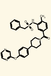 Cc1ccc(C(=O)N2CCC(c3ccc(Oc4cnccn4)cc3)CC2)cc1NS(=O)(=O)Cc1ccccc1